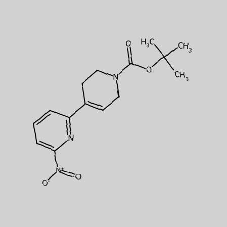 CC(C)(C)OC(=O)N1CC=C(c2cccc([N+](=O)[O-])n2)CC1